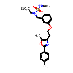 CCOC(=O)CN(Cc1cccc(OCCc2nc(-c3ccc(C(F)(F)F)cc3)oc2C)c1)S(=O)(=O)NC(C)(C)C